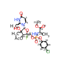 C=C1NC(=O)C=CN1[C@@H]1O[C@](F)(COP(=O)(NC(C)C(=O)OC(C)C)Oc2ccc(Cl)cc2)[C@@H](OC(C)=O)[C@@]1(C)O